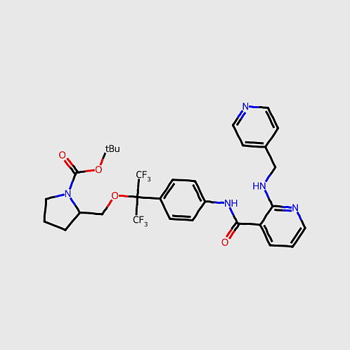 CC(C)(C)OC(=O)N1CCCC1COC(c1ccc(NC(=O)c2cccnc2NCc2ccncc2)cc1)(C(F)(F)F)C(F)(F)F